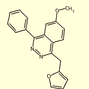 COc1ccc2c(Cc3ccco3)nnc(-c3ccccc3)c2c1